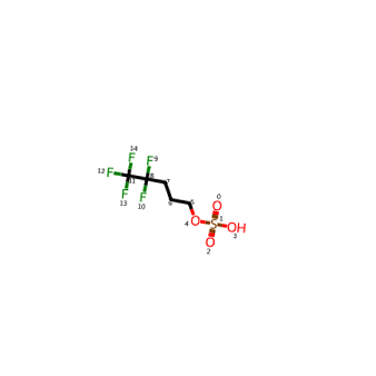 O=S(=O)(O)OCCCC(F)(F)C(F)(F)F